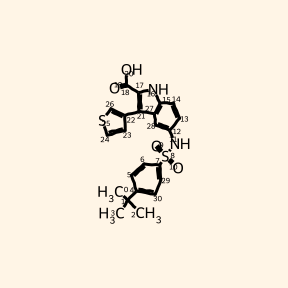 CC(C)(C)c1ccc(S(=O)(=O)Nc2ccc3[nH]c(C(=O)O)c(-c4ccsc4)c3c2)cc1